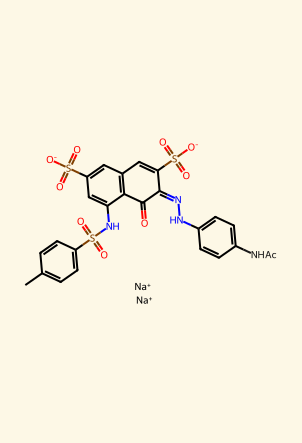 CC(=O)Nc1ccc(N/N=C2\C(=O)c3c(cc(S(=O)(=O)[O-])cc3NS(=O)(=O)c3ccc(C)cc3)C=C2S(=O)(=O)[O-])cc1.[Na+].[Na+]